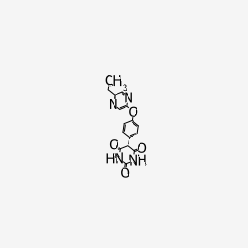 CCc1cnc(Oc2ccc(C3C(=O)NC(=O)NC3=O)cc2)cn1